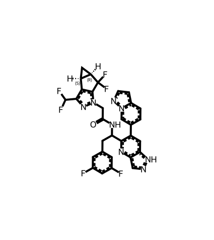 O=C(Cn1nc(C(F)F)c2c1C(F)(F)[C@@H]1C[C@H]21)NC(Cc1cc(F)cc(F)c1)c1nc2cn[nH]c2cc1-c1ccc2ccnn2c1